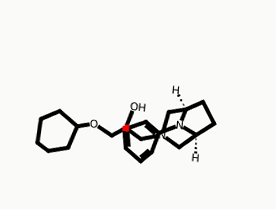 OC(COC1CCCCC1)CN1C[C@H]2CC[C@@H](C1)N2c1ccccc1